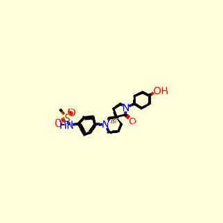 CS(=O)(=O)Nc1ccc(N2CCC[C@]3(CCN(C4CCC(O)CC4)C3=O)C2)cc1